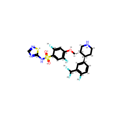 O=S(=O)(Nc1ncns1)c1cc(F)c(OC[C@@H]2CNCC[C@H]2c2ccc(F)c(C(F)F)c2)cc1F